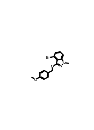 COc1ccc(COc2nn(C)c3cccc(Br)c23)cc1